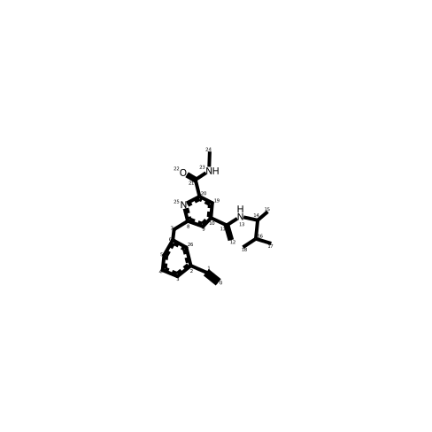 C#Cc1cccc(Cc2cc(C(=C)NC(C)C(C)C)cc(C(=O)NC)n2)c1